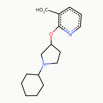 O=C(O)c1cccnc1OC1CCN(C2CCCCC2)C1